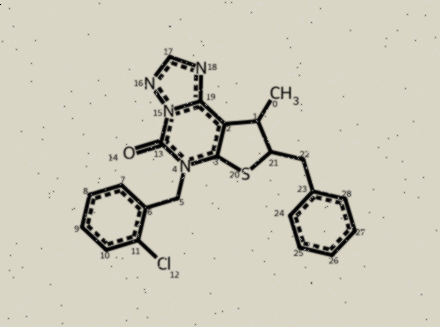 CC1c2c(n(Cc3ccccc3Cl)c(=O)n3ncnc23)SC1Cc1ccccc1